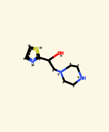 OC(CN1CCNCC1)c1nccs1